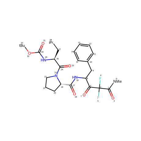 CNC(=O)C(F)(F)C(=O)C(Cc1ccccc1)NC(=O)[C@@H]1CCCN1C(=O)[C@H](CC(C)C)NC(=O)OC(C)(C)C